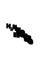 CCc1nc2c(-c3ccc(S(=O)(=O)N4CCOCC4)cc3)cccc2n1C/C(F)=C/CN